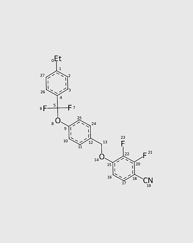 CCc1ccc(C(F)(F)Oc2ccc(COc3ccc(C#N)c(F)c3F)cc2)cc1